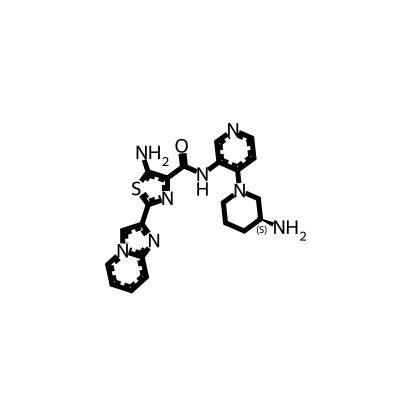 Nc1sc(-c2cn3ccccc3n2)nc1C(=O)Nc1cnccc1N1CCC[C@H](N)C1